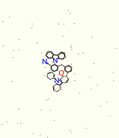 N#Cc1cccc(Cc2cccc3c2OC2c4c(c5c(n4C4=CC=CCC4)C=CCC5)C=CC32)c1-n1c2ccc#cc2c2ccccc21